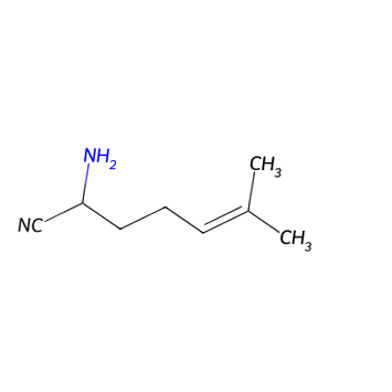 CC(C)=CCCC(N)C#N